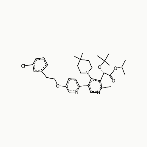 Cc1ncc(-c2ccc(OCCc3cccc(Cl)c3)cn2)c(N2CCC(C)(C)CC2)c1[C@H](OC(C)(C)C)C(=O)OC(C)C